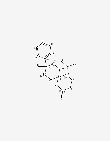 CC(C)[C@@H]1CC[C@@H](C)CC12COC(C)(c1ccccc1)OC2